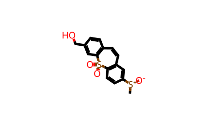 C[S+]([O-])c1ccc2c(c1)C=Cc1ccc(CO)cc1S2(=O)=O